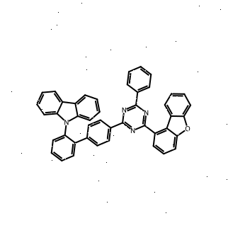 c1ccc(-c2nc(-c3ccc(-c4ccccc4-n4c5ccccc5c5ccccc54)cc3)nc(-c3cccc4oc5ccccc5c34)n2)cc1